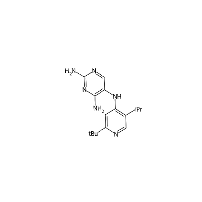 CC(C)c1cnc(C(C)(C)C)cc1Nc1cnc(N)nc1N